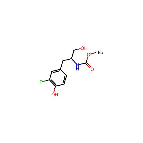 CC(C)(C)OC(=O)NC(CO)Cc1ccc(O)c(F)c1